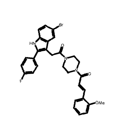 COc1ccccc1/C=C/C(=O)N1CCN(C(=O)Cc2c(-c3ccc(F)cc3)[nH]c3ccc(Br)cc23)CC1